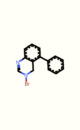 BrN1C=Nc2cccc(-c3ccccc3)c2C1